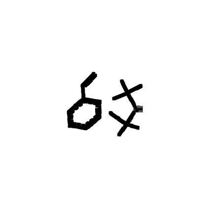 C=Cc1ccccc1.CC(C)(C)NC(C)(C)C